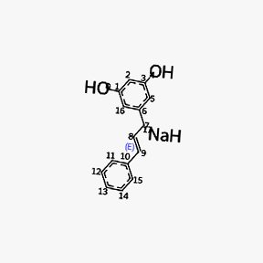 Oc1cc(O)cc(C/C=C/c2ccccc2)c1.[NaH]